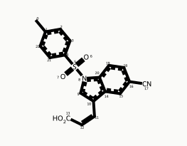 Cc1ccc(S(=O)(=O)n2cc(/C=C\C(=O)O)c3cc(C#N)ccc32)cc1